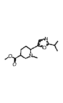 COC(=O)C1CCC(c2cnc(C(C)C)o2)N(C)C1